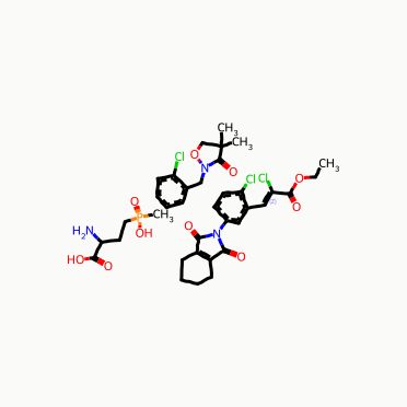 CC1(C)CON(Cc2ccccc2Cl)C1=O.CCOC(=O)/C(Cl)=C/c1cc(N2C(=O)C3=C(CCCC3)C2=O)ccc1Cl.CP(=O)(O)CCC(N)C(=O)O